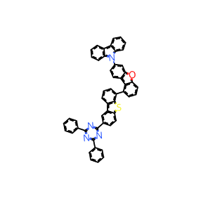 c1ccc(-c2nc(-c3ccccc3)nc(-c3ccc4sc5c(-c6cccc7oc8cc(-n9c%10ccccc%10c%10ccccc%109)ccc8c67)cccc5c4c3)n2)cc1